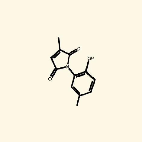 CC1=CC(=O)N(c2cc(C)ccc2O)C1=O